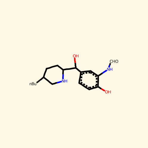 CCCCC1CCC(C(O)c2ccc(O)c(NC=O)c2)NC1